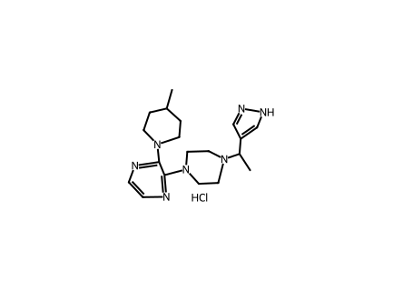 CC1CCN(c2nccnc2N2CCN(C(C)c3cn[nH]c3)CC2)CC1.Cl